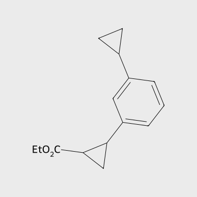 CCOC(=O)C1CC1c1cccc(C2CC2)c1